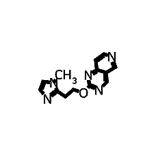 Cn1ccnc1CCOc1ncc2cnccc2n1